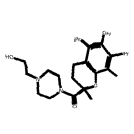 Cc1c2c(c(C(C)C)c(O)c1C(C)C)CCC(C)(C(=O)N1CCN(CCO)CC1)O2